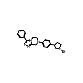 CCN1CCC(c2ccc(N3CCn4c(nnc4-c4ccccc4)C3)cc2)C1